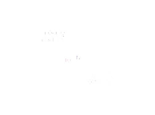 CCCCCCCCC(CCCCCCCC)OC(=O)CCCCCCCN(CCO)CCCCCCOC(=O)OCCC12CC3CC(CC(C3)C1)C2